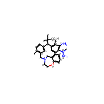 Cc1ccc(C(c2ccc(N(C)N)c(N)c2C)C(C)(C)C(=O)O)cc1CN1CCOc2ccccc2C1